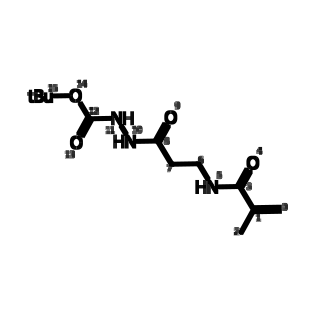 C=C(C)C(=O)NCCC(=O)NNC(=O)OC(C)(C)C